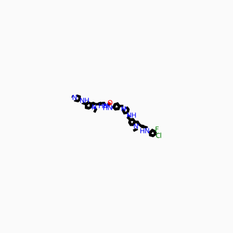 CCn1c(C#CCNC(=O)Nc2ccc(CN3CCC(NCc4ccc5c(c4)cc(C#CCNc4ccc(Cl)c(F)c4)n5CC)CC3)cc2)cc2cc(CNC3CCN(C)CC3)ccc21